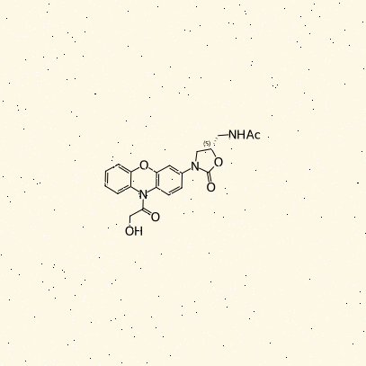 CC(=O)NC[C@H]1CN(c2ccc3c(c2)Oc2ccccc2N3C(=O)CO)C(=O)O1